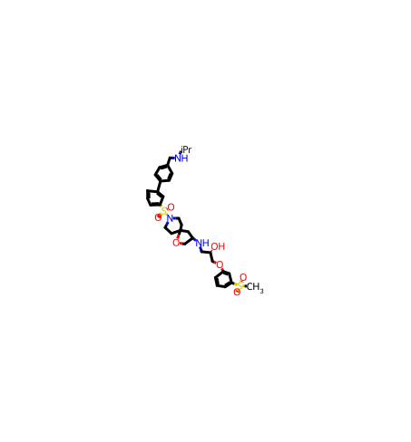 CC(C)NCc1ccc(-c2cccc(S(=O)(=O)N3CCC4(CC3)CC(NC[C@H](O)COc3cccc(S(C)(=O)=O)c3)CO4)c2)cc1